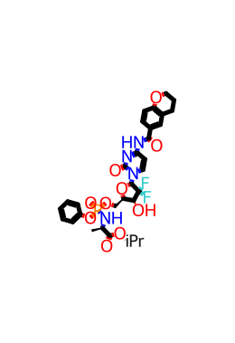 CC(C)OC(=O)[C@@H](C)NP(=O)(OC[C@H]1OC(n2ccc(NC(=O)c3ccc4c(c3)CCCO4)nc2=O)C(F)(F)[C@@H]1O)Oc1ccccc1